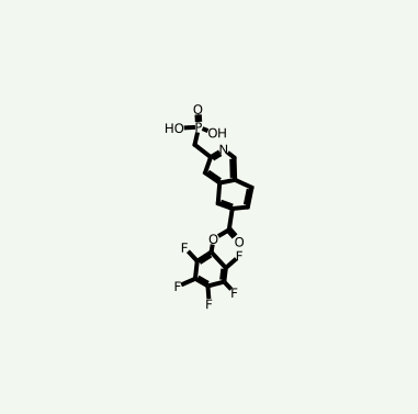 O=C(Oc1c(F)c(F)c(F)c(F)c1F)c1ccc2cnc(CP(=O)(O)O)cc2c1